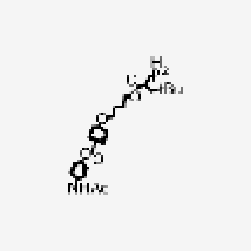 CC(=O)Nc1ccc(OC(=O)c2ccc(OCCCCOC(=O)C(CP)CC(C)(C)C)cc2)cc1